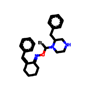 CCC(O/N=C1\CCCC\C1=C\c1ccccc1)N1CCNCC1Cc1ccccc1